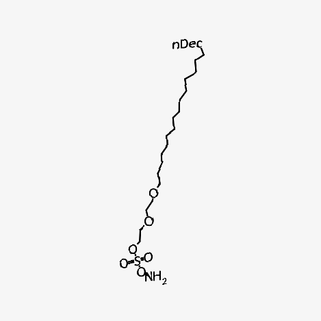 CCCCCCCCCCCCCCCCCCCCCCCCCOCCOCCOS(=O)(=O)ON